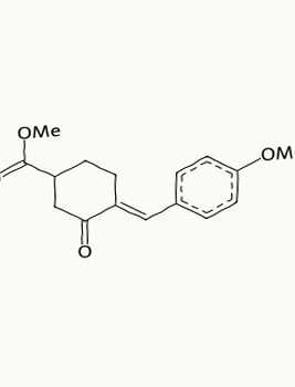 COC(=O)C1CC/C(=C\c2ccc(OC)cc2)C(=O)C1